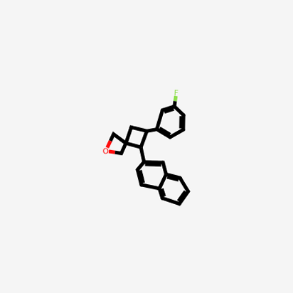 Fc1cccc(C2CC3(COC3)C2c2ccc3ccccc3c2)c1